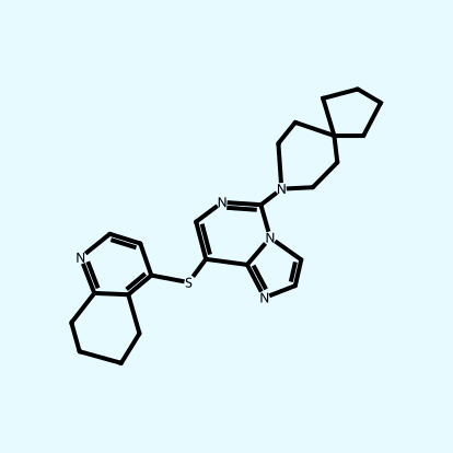 c1cc(Sc2cnc(N3CCC4(CCCC4)CC3)n3ccnc23)c2c(n1)CCCC2